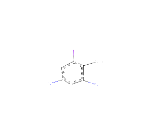 CC(=O)Nc1c(N)cc(N)cc1I